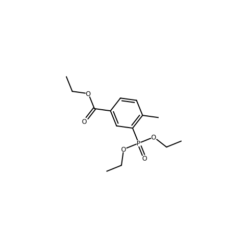 CCOC(=O)c1ccc(C)c(P(=O)(OCC)OCC)c1